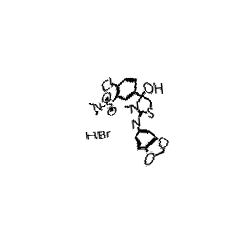 Br.CN1C(=Nc2ccc3c(c2)OCO3)SCC1(O)c1ccc(Cl)c(S(=O)(=O)N(C)C)c1